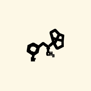 CN(Cc1cccc(Br)c1)C1C2CC3CC4CC1CC34C2